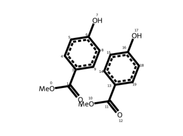 COC(=O)c1ccc(O)cc1.COC(=O)c1ccc(O)cc1